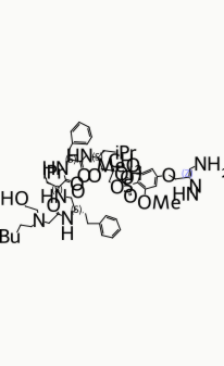 CCC(C)CCN(CCO)CC(=O)N[C@@H](CCc1ccccc1)C(=O)N[C@@H](CC(C)C)C(=O)N[C@@H](Cc1ccccc1)C(=O)N[C@@H](CC(C)C)C(=O)C(C)(O)COS(=O)(=O)c1c(OC)cc(OC/C(=C/N)N=N)cc1OC